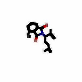 C=C(C)CCC(C(=C)C)N1C(=O)c2cccc(C(C)C)c2C1=O